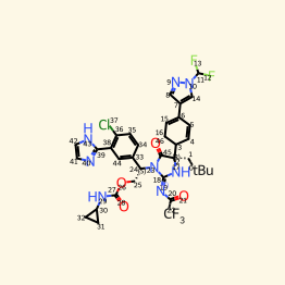 CC(C)(C)C[C@]1(C2C=CC(c3cnn(C(F)F)c3)=CC2)N/C(=N\C(=O)C(F)(F)F)N([C@H](COC(=O)NC2CC2)c2ccc(Cl)c(-c3ncc[nH]3)c2)C1=O